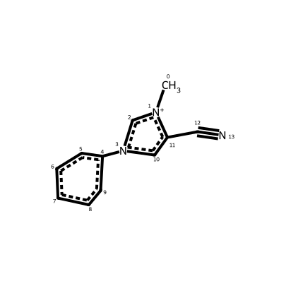 C[n+]1cn(-c2ccccc2)cc1C#N